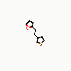 c1coc(CCc2ccsc2)c1